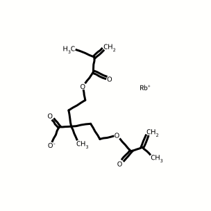 C=C(C)C(=O)OCCC(C)(CCOC(=O)C(=C)C)C(=O)[O-].[Rb+]